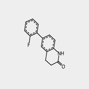 O=C1CCc2cc(-c3ccccc3F)ccc2N1